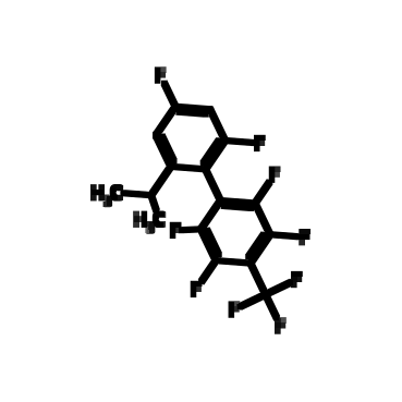 CC(C)c1cc(F)cc(F)c1-c1c(F)c(F)c(C(F)(F)F)c(F)c1F